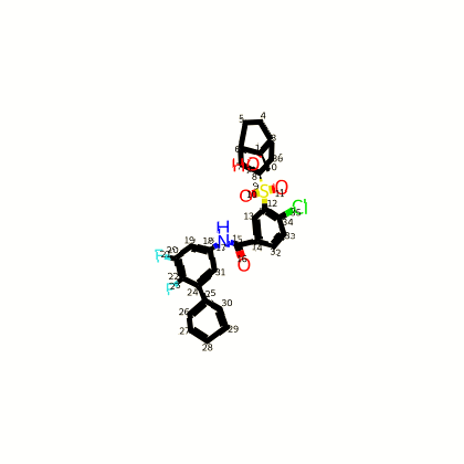 C[C@]1(O)C2CCC1C[C@@H](S(=O)(=O)c1cc(C(=O)Nc3cc(F)c(F)c(-c4ccccc4)c3)ccc1Cl)C2